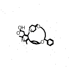 Cc1nc(C)c2c(c1CC(=O)O)N1CCC(C)(CC1)OCCCCC(c1ccccc1)Oc1ccc-2cc1